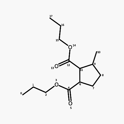 CCCOC(=O)C1CCC(C)C1C(=O)OCCC